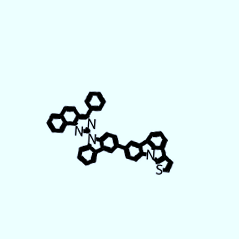 c1ccc(-c2nc(-n3c4ccccc4c4cc(-c5ccc6c(c5)c5cccc7c8ccsc8n6c57)ccc43)nc3c2ccc2ccccc23)cc1